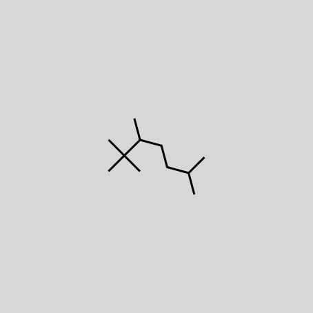 CC(C)CCC(C)C(C)(C)C